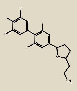 CCCC1CCC(c2cc(F)c(-c3cc(F)c(F)c(F)c3)c(F)c2)O1